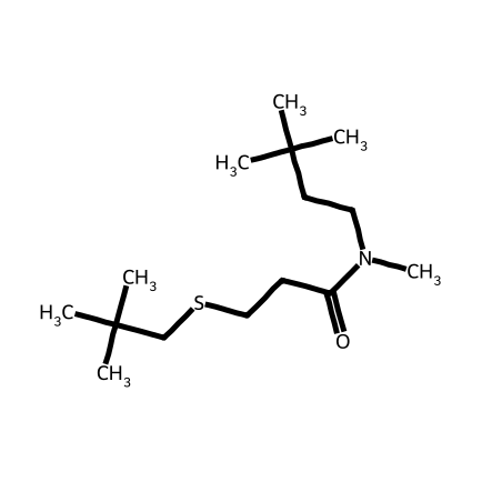 CN(CCC(C)(C)C)C(=O)CCSCC(C)(C)C